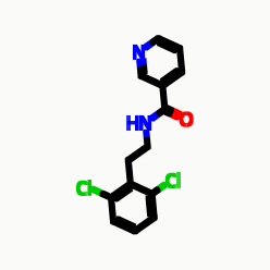 O=C(NCCc1c(Cl)cccc1Cl)c1cccnc1